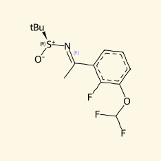 C/C(=N\[S@@+]([O-])C(C)(C)C)c1cccc(OC(F)F)c1F